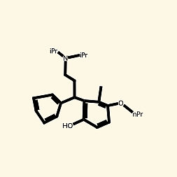 CCCOc1ccc(O)c(C(CCN(C(C)C)C(C)C)c2ccccc2)c1C